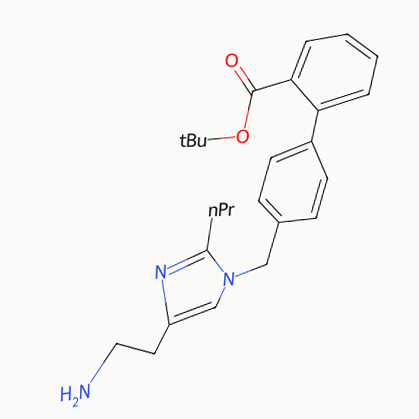 CCCc1nc(CCN)cn1Cc1ccc(-c2ccccc2C(=O)OC(C)(C)C)cc1